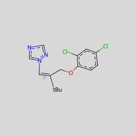 CC(C)(C)/C(=C/n1cncn1)COc1ccc(Cl)cc1Cl